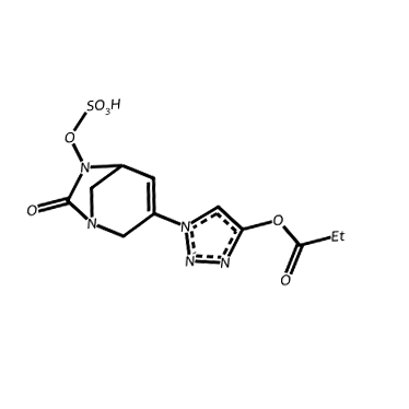 CCC(=O)Oc1cn(C2=CC3CN(C2)C(=O)N3OS(=O)(=O)O)nn1